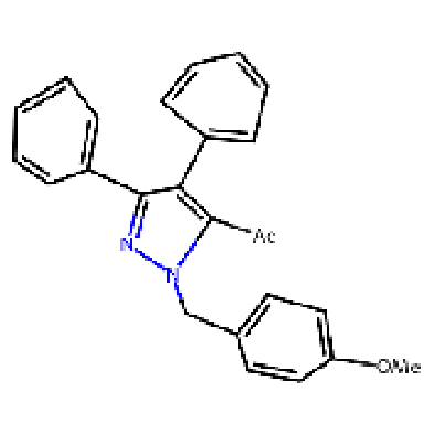 COc1ccc(Cn2nc(-c3ccccc3)c(-c3ccccc3)c2C(C)=O)cc1